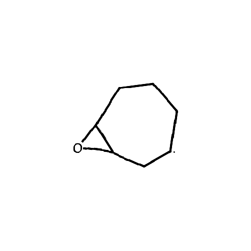 [CH]1CCCC2OC2C1